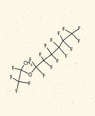 CC(F)(OC(F)(F)C(F)(F)C(F)(F)C(F)(F)C(F)(F)C(F)(F)F)C(F)(F)F